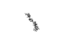 CON[C@H](CC(CCCN)c1nc2ccc3cc(-c4ccc5c(c4)ncc4nc([C@@H]6CCCN6C(=O)[C@@H](NO)C(C)C)[nH]c45)ncc3c2[nH]1)C(C)C